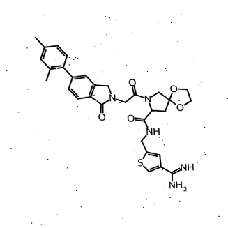 Cc1ccc(-c2ccc3c(c2)CN(CC(=O)N2CC4(CC2C(=O)NCc2cc(C(=N)N)cs2)OCCO4)C3=O)c(C)c1